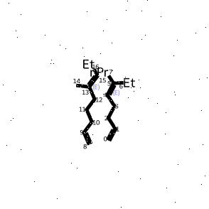 C=CCC/C=C(\CC)CCC.C=CCCC/C(C)=C/CC